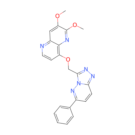 COc1cc2nccc(OCc3nnc4ccc(-c5ccccc5)nn34)c2nc1OC